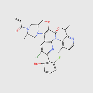 C=CC(=O)N1CC2COc3c(c4cc(Cl)c(-c5c(O)cccc5F)nc4n(-c4c(C)ccnc4C(C)C)c3=O)N2CC1C